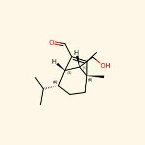 CC1=C(C=O)[C@H]2[C@@H](C(C)C)CC[C@]1(C)[C@H]2CO